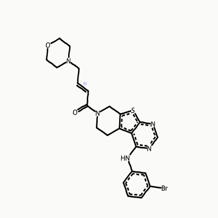 O=C(/C=C/CN1CCOCC1)N1CCc2c(sc3ncnc(Nc4cccc(Br)c4)c23)C1